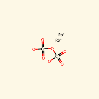 [O]=[Cr](=[O])([O-])[O][Cr](=[O])(=[O])[O-].[Rb+].[Rb+]